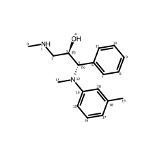 CNC[C@@H](O)[C@H](c1ccccc1)N(C)c1cccc(C)c1